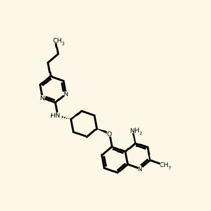 CCCc1cnc(N[C@H]2CC[C@H](Oc3cccc4nc(C)cc(N)c34)CC2)nc1